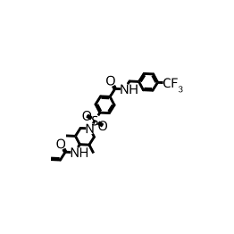 C=CC(=O)NC1C(C)CN(S(=O)(=O)c2ccc(C(=O)NCc3ccc(C(F)(F)F)cc3)cc2)CC1C